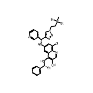 CC[C@@H](Nc1c(C#N)cnc2c(Cl)cc(N[C@@H](c3cccnc3)c3cn(CC[N+](C)(CC)CC)nn3)cc12)c1ccccc1